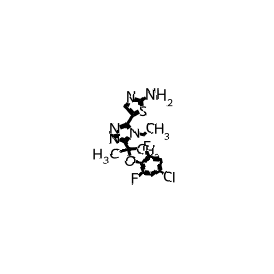 CCn1c(-c2cnc(N)s2)nnc1C(C)(C)Oc1c(F)cc(Cl)cc1F